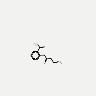 CCCC(=O)Cc1ccccc1C(C)=O